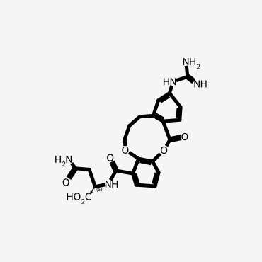 N=C(N)Nc1ccc2c(c1)CCCOc1c(cccc1C(=O)N[C@@H](CC(N)=O)C(=O)O)OC2=O